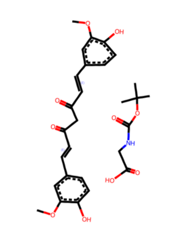 CC(C)(C)OC(=O)NCC(=O)O.COc1cc(/C=C/C(=O)CC(=O)/C=C/c2ccc(O)c(OC)c2)ccc1O